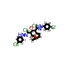 O=C(C(C(Cl)=NNc1ccc(Cl)cc1)c1cccs1)C(C(Cl)=NNc1ccc(Cl)cc1)c1cccs1